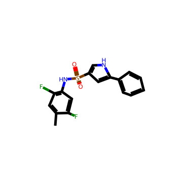 Cc1cc(F)c(NS(=O)(=O)c2c[nH]c(-c3ccccc3)c2)cc1F